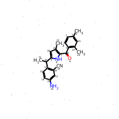 Cc1ccc(C(=O)c2[nH]c(C(C)c3ccc(N)cc3C#N)cc2C)c(C)c1